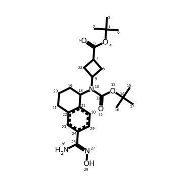 CC(C)(C)OC(=O)C1CC(N(C(=O)OC(C)(C)C)C2CCCc3cc(C(N)=NO)ccc32)C1